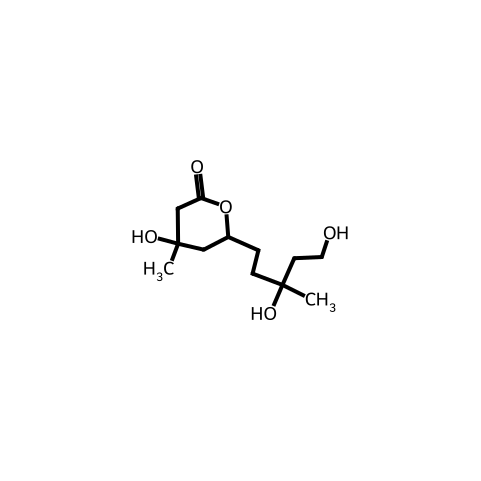 CC(O)(CCO)CCC1CC(C)(O)CC(=O)O1